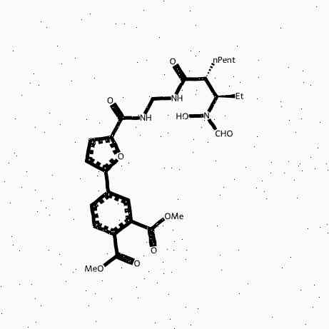 CCCCC[C@@H](C(=O)NCNC(=O)c1ccc(-c2ccc(C(=O)OC)c(C(=O)OC)c2)o1)[C@@H](CC)N(O)C=O